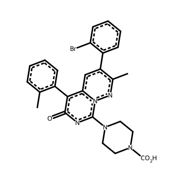 Cc1ccccc1-c1c(=O)nc(N2CCN(C(=O)O)CC2)n2nc(C)c(-c3ccccc3Br)cc12